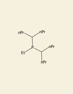 CCCC(CCC)P(CC)C(CCC)CCC